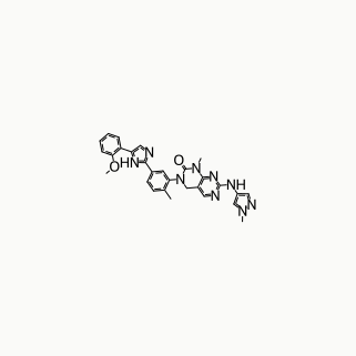 COc1ccccc1-c1cnc(-c2ccc(C)c(N3Cc4cnc(Nc5cnn(C)c5)nc4N(C)C3=O)c2)[nH]1